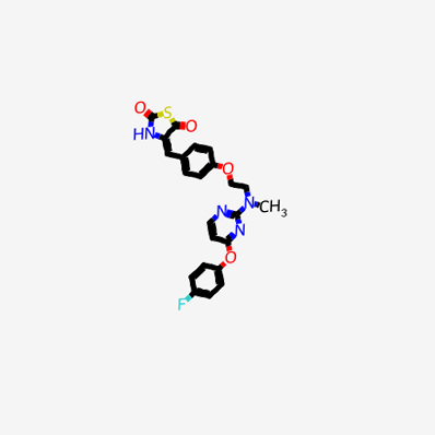 CN(CCOc1ccc(C=C2NC(=O)SC2=O)cc1)c1nccc(Oc2ccc(F)cc2)n1